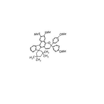 COc1ccc(C2(c3ccc(OC)cc3)C=Cc3c4c(c5cc(SC)c(SC)cc5c3O2)-c2ccccc2C42CC(C)(C)CC(C)(C)C2)cc1